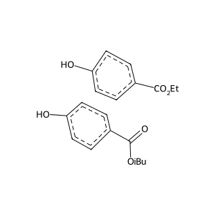 CC(C)COC(=O)c1ccc(O)cc1.CCOC(=O)c1ccc(O)cc1